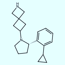 c1ccc([C@@H]2CCCN2C2CC3(CNC3)C2)c(C2CC2)c1